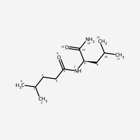 CC(C)CCC(=O)N[C@H](CC(C)C)C(N)=O